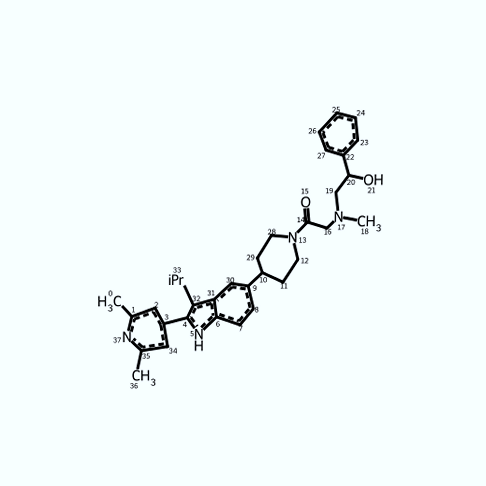 Cc1cc(-c2[nH]c3ccc(C4CCN(C(=O)CN(C)CC(O)c5ccccc5)CC4)cc3c2C(C)C)cc(C)n1